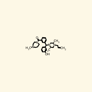 C=CCN1C[C@H](C)N(C(c2cccc(O)c2)c2cccc(C(=O)N3CCCN(C)CC3)c2)C[C@H]1C